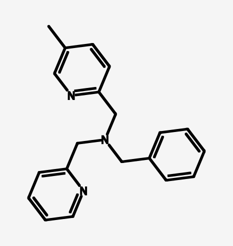 Cc1ccc(CN(Cc2ccccc2)Cc2ccccn2)nc1